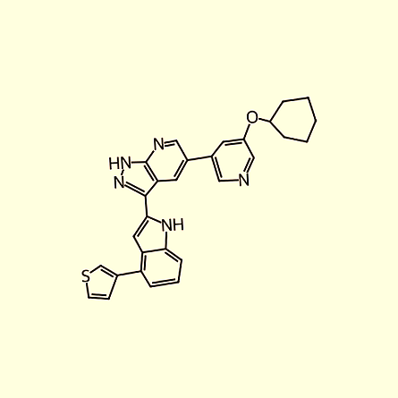 c1cc(-c2ccsc2)c2cc(-c3n[nH]c4ncc(-c5cncc(OC6CCCCC6)c5)cc34)[nH]c2c1